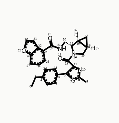 CCc1ccc(-c2sc(C)nc2C(=O)N2C[C@@H]3C[C@@H]3[C@H]2CNC(=O)c2cccc3occc23)cc1